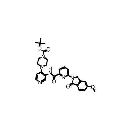 COc1ccc2c(c1)CN(c1cccc(C(=O)Nc3cnccc3N3CCN(C(=O)OC(C)(C)C)CC3)n1)C2=O